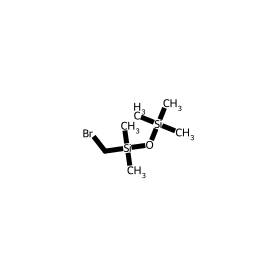 C[Si](C)(C)O[Si](C)(C)CBr